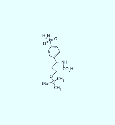 CC(C)(C)[Si](C)(C)OCCC(NC(=O)O)c1ccc(S(N)(=O)=O)cc1